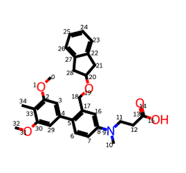 COc1cc(-c2ccc(N(C)CCC(=O)O)cc2COC2Cc3ccccc3C2)cc(OC)c1C